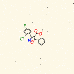 COC(=O)c1c(-c2ccc(F)cc2Cl)noc1-c1ccccc1